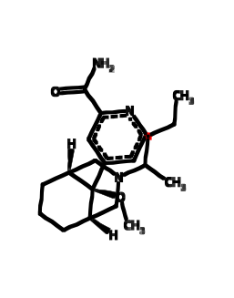 CCCC(C)N1C[C@H]2CCC[C@@H](C1)[C@@]2(OC)c1ccnc(C(N)=O)c1